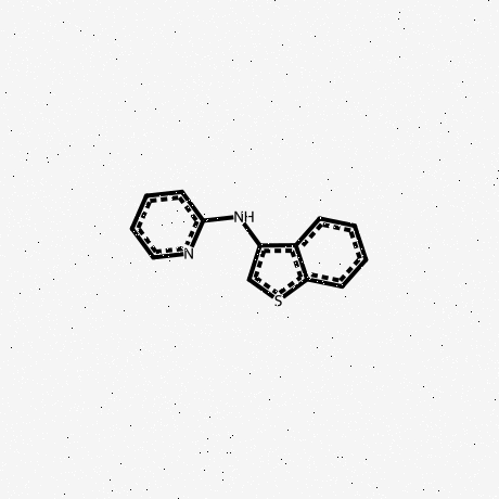 c1ccc(Nc2csc3ccccc23)nc1